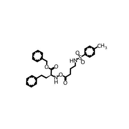 Cc1ccc(S(=O)(=O)NCCCC(=O)ON[C@@H](CCc2ccccc2)C(=O)OCc2ccccc2)cc1